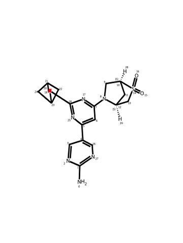 Nc1ncc(-c2cc(N3C[C@@H]4C[C@H]3CS4(=O)=O)nc(N3CC4CC3C4)n2)cn1